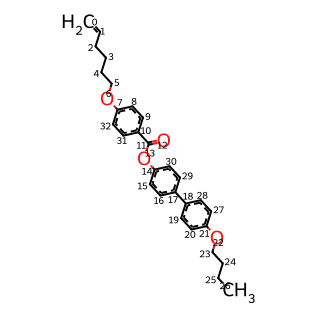 C=CCCCCOc1ccc(C(=O)Oc2ccc(-c3ccc(OCCCC)cc3)cc2)cc1